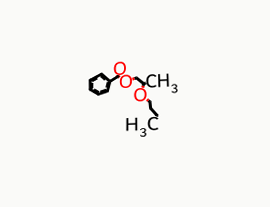 CCCCOC(C)COC(=O)c1ccccc1